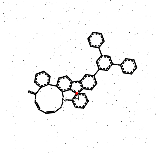 C=C1/C=C\C=C/CN(c2ccccc2)c2c(ccc3c2[nH]c2ccc(-c4cc(-c5ccccc5)cc(-c5ccccc5)c4)cc23)-c2ccccc21